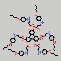 CCCCOc1ccc(N(C)/C=C/C(=O)Oc2cc3c4cc(OC(=O)/C=C/N(C)c5ccc(OCCCC)cc5)c(OC(=O)/C=C/N(C)c5ccc(OCCCC)cc5)cc4c4cc(OC(=O)/C=C/N(C)c5ccc(OCCCC)cc5)c(OC(=O)/C=C/N(C)c5ccc(OCCCC)cc5)cc4c3cc2OC(=O)/C=C/N(C)c2ccc(OCCCC)cc2)cc1